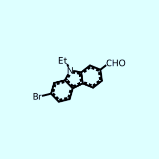 CCn1c2cc(Br)ccc2c2ccc(C=O)cc21